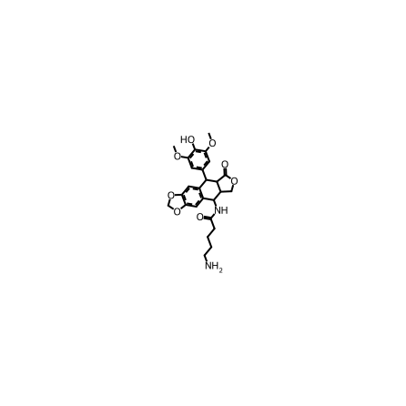 COc1cc(C2c3cc4c(cc3C(NC(=O)CCCCN)C3COC(=O)C23)OCO4)cc(OC)c1O